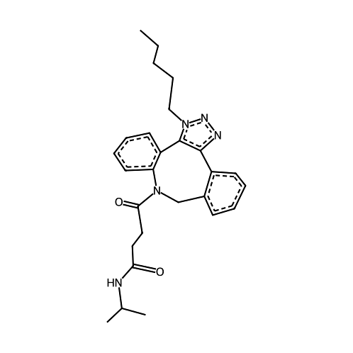 CCCCCn1nnc2c1-c1ccccc1N(C(=O)CCC(=O)NC(C)C)Cc1ccccc1-2